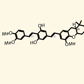 COc1ccc(/C=C/c2c(O)cc(/C=C/c3cc4c(c(OC)c3)OC3CCCC(C)(C)[C@H]3C4)cc2O)cc1OC